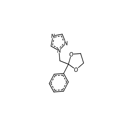 c1ccc(C2(Cn3cncn3)OCCO2)cc1